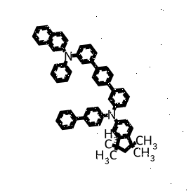 CC1(C)CC(C)(C)c2cc(N(c3ccc(-c4ccccc4)cc3)c3cccc(-c4ccc(-c5cccc(N(c6ccccc6)c6ccc7ccccc7c6)c5)cc4)c3)ccc21